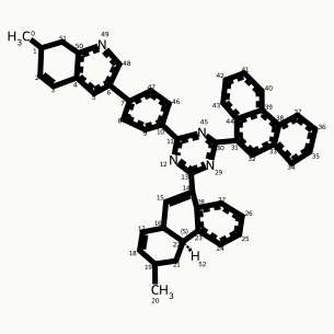 CC1C=Cc2cc(-c3ccc(-c4nc(C5=CC6C=CC(C)C[C@@H]6c6ccccc65)nc(-c5cc6ccccc6c6ccccc56)n4)cc3)cnc2C1